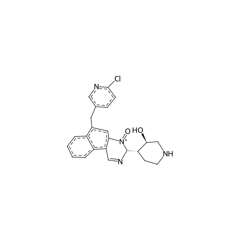 O=[N+]1c2cc(Cc3ccc(Cl)nc3)c3ccccc3c2C=NC1[C@H]1CCNC[C@@H]1O